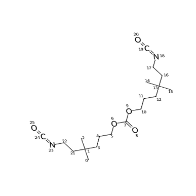 CC(C)(CCCOC(=O)OCCCC(C)(C)CCN=C=O)CCN=C=O